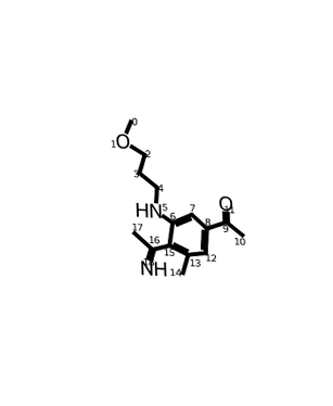 COCCCNc1cc(C(C)=O)cc(C)c1C(C)=N